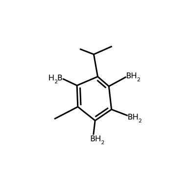 Bc1c(B)c(C)c(B)c(C(C)C)c1B